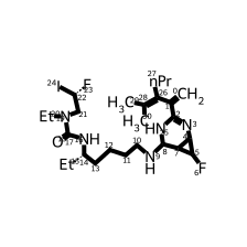 C=C(C1=NC2C(F)C2C(NCCCC[C@H](CC)NC(=O)N(CC)C[C@@H](F)I)N1)C(CCC)=C(C)C